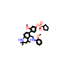 COc1ccccc1NCc1c(-c2ccc(OS(=O)(=O)C3CCCC3)cc2OC)ccc2c1C(C)=CC(C)(C)N2